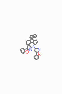 c1ccc2c(c1)-c1c(N(c3cnc4oc5ccccc5c4c3)c3ccc4c(n3)oc3ccccc34)cccc1C21C2CC3CC2CC31